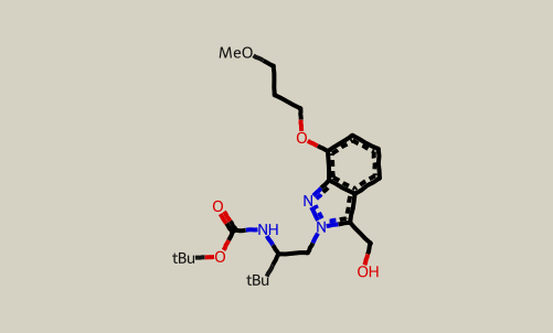 COCCCOc1cccc2c(CO)n(CC(NC(=O)OC(C)(C)C)C(C)(C)C)nc12